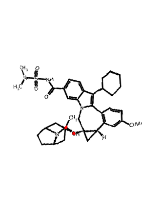 COc1ccc2c(c1)[C@@H]1C[C@]1(OCN1C3CCC1CC(C)(O)C3)Cn1c-2c(C2CCCCC2)c2ccc(C(=O)NS(=O)(=O)N(C)C)cc21